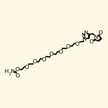 NC(=O)OCCOCCOCCOCCOCCOCCOCCOCCn1cc(CN2C(=O)C=CC2=O)nn1